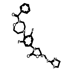 O=C(c1ccccc1)N1CCN(c2c(F)cc(N3C[C@H](CSC4=NCCS4)OC3=O)cc2F)CCO1